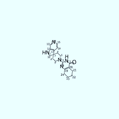 O=c1[nH]c(N2CCC3(CC2)CNc2cnccc23)nc2c1CCCC2